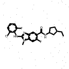 CCC1CCC(NC(=O)c2cc3nc(Nc4c(F)cccc4Cl)n(C)c3cc2F)C1